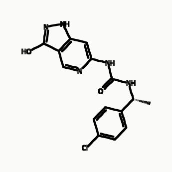 C[C@@H](NC(=O)Nc1cc2[nH]nc(O)c2cn1)c1ccc(Cl)cc1